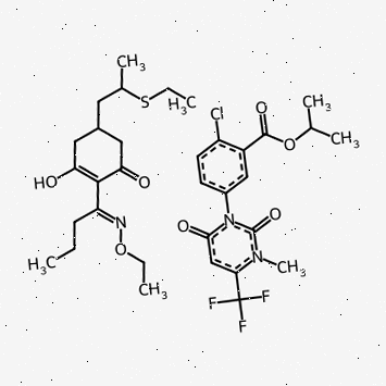 CC(C)OC(=O)c1cc(-n2c(=O)cc(C(F)(F)F)n(C)c2=O)ccc1Cl.CCCC(=NOCC)C1=C(O)CC(CC(C)SCC)CC1=O